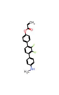 C=CC(=O)Oc1ccc(-c2ccc(-c3ccc(NC)cc3)c(F)c2F)cc1